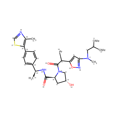 COC(CN(C)c1cc(C(C(=O)N2C[C@H](O)C[C@H]2C(=O)N[C@@H](C)c2ccc(-c3scnc3C)cc2)C(C)C)on1)OC